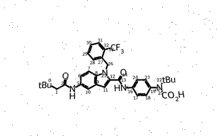 CC(C)(C)CC(=O)Nc1ccc2c(c1)cc(C(=O)Nc1ccc(N(C(=O)O)C(C)(C)C)cc1)n2Cc1ccccc1C(F)(F)F